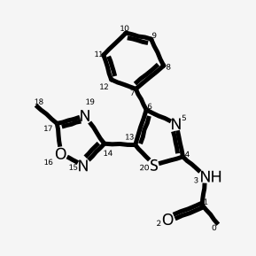 CC(=O)Nc1nc(-c2ccccc2)c(-c2noc(C)n2)s1